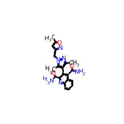 Cc1cc(Cn2nc(C)c(-c3c(C(N)=O)nc4ccccc4c3C(N)=O)c2C)no1